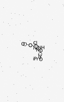 CC(C)C(=O)N1CCC(Oc2nc3nc(-c4ccc(C5=CCOCC5)cc4)c(Cl)cc3[nH]2)CC1